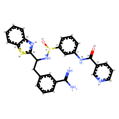 N=C(N)c1cccc(CC(N[S+]([O-])c2cccc(NC(=O)c3cccnc3)c2)c2nc3ccccc3s2)c1